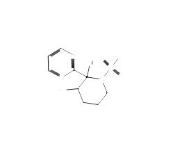 CCS(=O)(=O)N1CCCC(O)C1(N)c1ncccn1